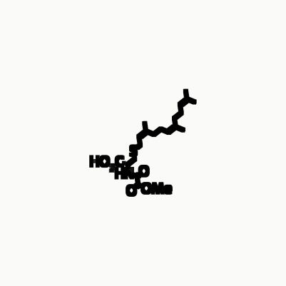 COC(=O)C(=O)N[C@@H](CSCC=C(C)CCC=C(C)CCC=C(C)C)C(=O)O